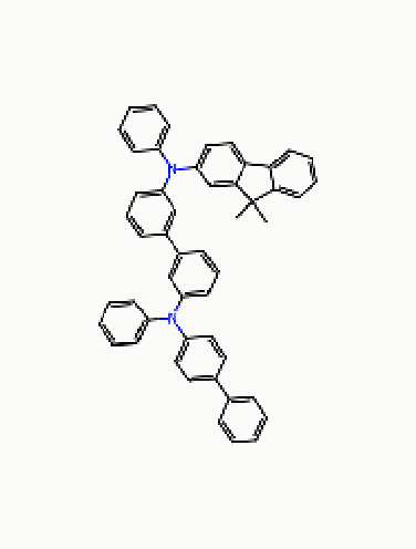 CC1(C)c2ccccc2-c2ccc(N(c3ccccc3)c3cccc(-c4cccc(N(c5ccccc5)c5ccc(-c6ccccc6)cc5)c4)c3)cc21